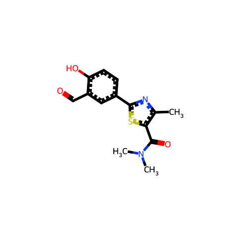 Cc1nc(-c2ccc(O)c(C=O)c2)sc1C(=O)N(C)C